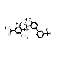 Cc1ccc(-c2cccc(C(F)(F)F)c2)cc1C(=O)Nc1c(C)cc(C(=O)O)cc1C